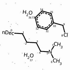 CCCCCCCCCCCCCCN(C)C.ClCc1ccccc1.O.O